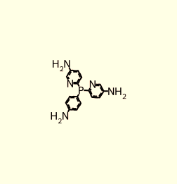 Nc1ccc(P(c2ccc(N)cn2)c2ccc(N)cn2)cc1